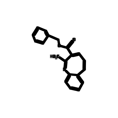 O=C(O)C1=Nc2ccccc2C=CC=C1C(=O)OCc1ccccc1